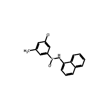 Cc1cc(Cl)cc([S+]([O-])Nc2cccc3ccccc23)c1